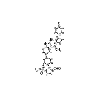 CCc1nc2ccc(N3CCN(C4C(C=O)CCN4S(C)(=O)=O)CC3)cn2c1N(C)c1nc(-c2ccc(F)cc2)cs1